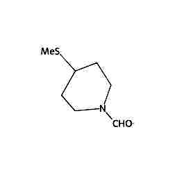 CSC1CCN([C]=O)CC1